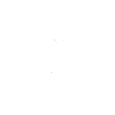 CC(=O)Nc1ccc(/C=C/c2ccc([N+](=O)[O-])c(C#N)c2)cc1